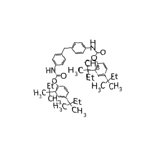 CCC(C)(C)c1ccc(OC(=O)Nc2ccc(Cc3ccc(NC(=O)Oc4ccc(C(C)(C)CC)cc4C(C)(C)CC)cc3)cc2)c(C(C)(C)CC)c1